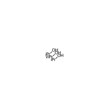 CC(C)O.CC(C)O.CC(C)O.[V]